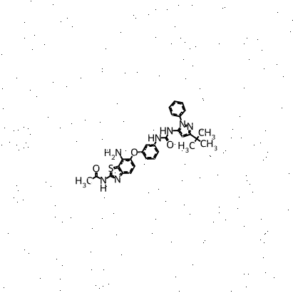 CC(=O)Nc1nc2ccc(Oc3cccc(NC(=O)Nc4cc(C(C)(C)C)nn4-c4ccccc4)c3)c(N)c2s1